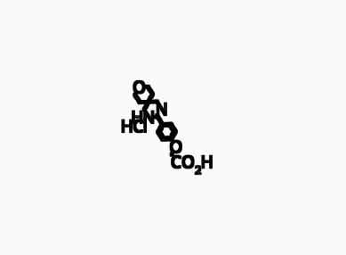 Cl.O=C(O)COc1ccc(C2=NCC3(CCOCC3)CN2)cc1